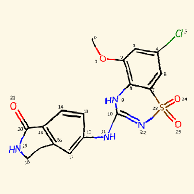 COc1cc(Cl)cc2c1NC(Nc1ccc3c(c1)CNC3=O)=NS2(=O)=O